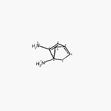 NC1=CC2=CCC1(N)C2